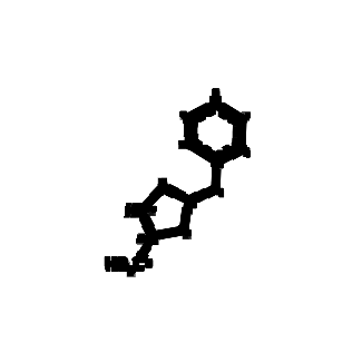 O=C(O)[C@@H]1CC(Cc2ccncc2)CN1